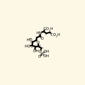 O=C(O)CCC(NC(=O)CC1OC(COP(=O)(O)O)C(O)C(O)C1O)C(=O)O